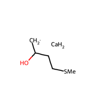 [CH2]C(O)CCSC.[CaH2]